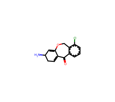 NC1C=C2OCc3c(Cl)cccc3C(=O)C2=CC1